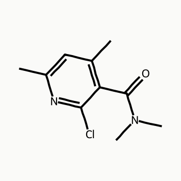 Cc1cc(C)c(C(=O)N(C)C)c(Cl)n1